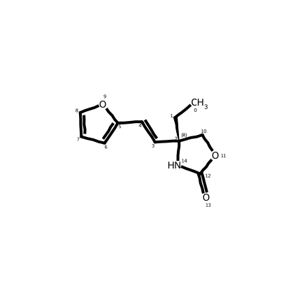 CC[C@@]1(C=Cc2ccco2)COC(=O)N1